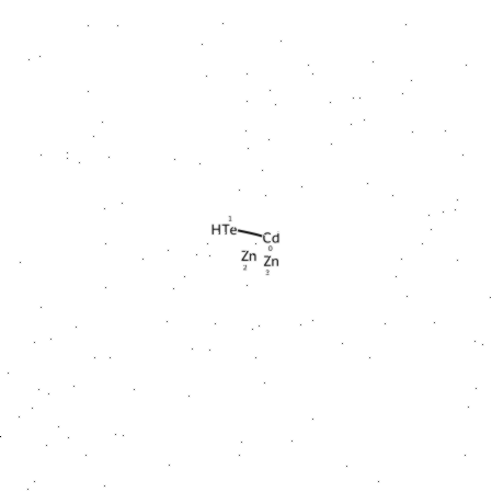 [Cd][TeH].[Zn].[Zn]